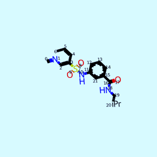 C=N/C=C(\C=C/C)S(=O)(=O)Nc1cccc(C(=O)NCC(C)C)c1